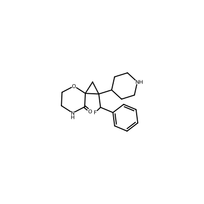 O=C1NCCOC12CC2(C1CCNCC1)C(F)c1ccccc1